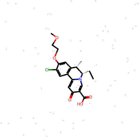 CC[C@H]1[C@@H](C)c2cc(OCCOC)c(Cl)cc2-c2cc(=O)c(C(=O)O)cn21